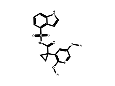 CC(C)Oc1cnc(OC(C)C)c(C2(C(=O)NS(=O)(=O)c3cccc4[nH]ccc34)CC2)c1